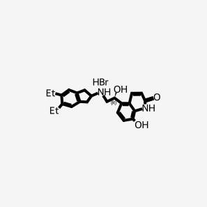 Br.CCc1cc2c(cc1CC)CC(NC[C@H](O)c1ccc(O)c3[nH]c(=O)ccc13)C2